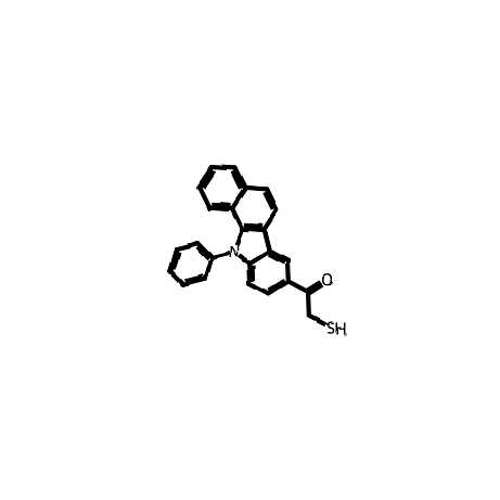 O=C(CS)c1ccc2c(c1)c1ccc3ccccc3c1n2-c1ccccc1